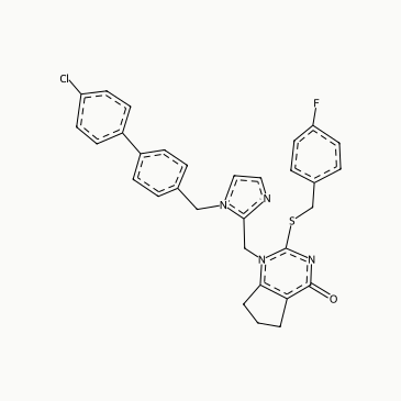 O=c1nc(SCc2ccc(F)cc2)n(Cc2nccn2Cc2ccc(-c3ccc(Cl)cc3)cc2)c2c1CCC2